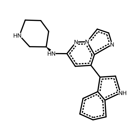 c1ccc2c(-c3cc(N[C@@H]4CCCNC4)nn4ccnc34)c[nH]c2c1